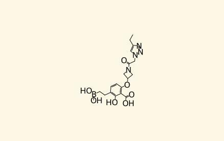 CCc1cn(CC(=O)N2CC(Oc3ccc(CCB(O)O)c(O)c3C(=O)O)C2)nn1